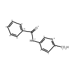 O=C(Nc1ccc(C(=O)O)nc1)c1ccccc1